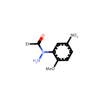 CCC(=O)N(N)c1cc([N+](=O)[O-])ccc1OC